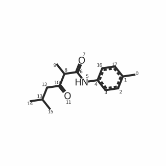 Cc1ccc(NC(=O)C(C)C(=O)CC(C)C)cc1